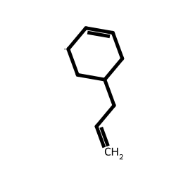 C=CC[C]1C[CH]C=CC1